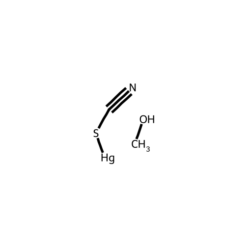 CO.N#C[S][Hg]